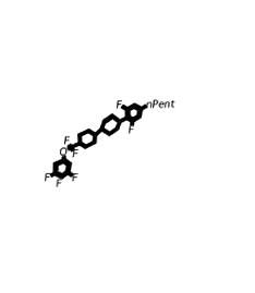 CCCCCc1cc(F)c(C2C=CC(C3CCC(C(F)(F)Oc4cc(F)c(F)c(F)c4)CC3)CC2)c(F)c1